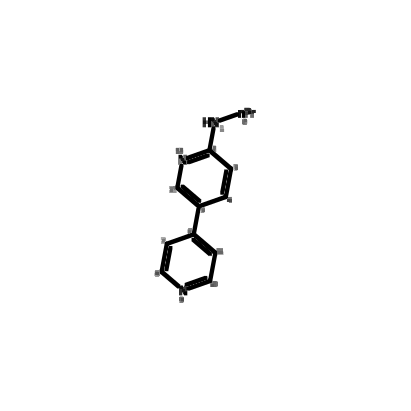 CCCNc1ccc(-c2ccncc2)cn1